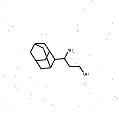 NC(CCO)C1C2CC3CC(C2)CC1C3